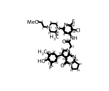 COCCN1CCN(c2cc(NC(=O)Cn3cc(-c4cc(C)c(O)c(F)c4)c4c(=O)n5c(nc43)CCC5)c(Cl)c(F)n2)[C@@H](C)C1